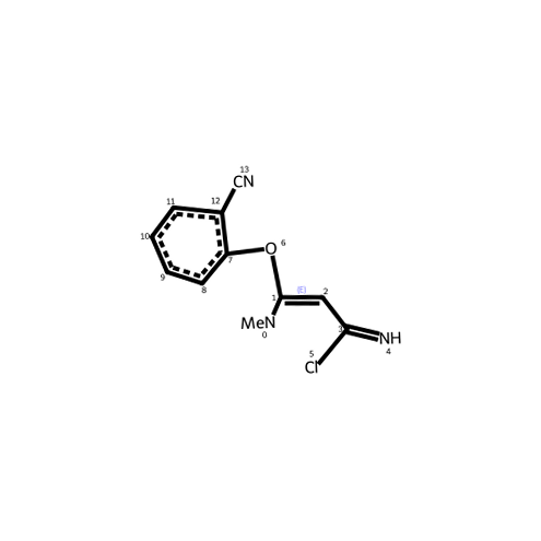 CN/C(=C\C(=N)Cl)Oc1ccccc1C#N